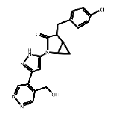 O=C1C(Cc2ccc(Cl)cc2)C2CC2N1c1cc(-c2cnncc2CO)n[nH]1